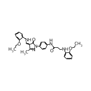 CCOc1ccccc1NC=C1C(=O)N(c2ccc(NC(=O)CCNc3ccccc3OCC)cc2)N=C1C